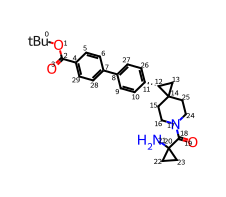 CC(C)(C)OC(=O)c1ccc(-c2ccc([C@@H]3CC34CCN(C(=O)C3(N)CC3)CC4)cc2)cc1